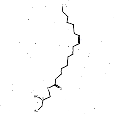 CCCCCC/C=C\CCCCCCCC(=O)OC[C@H](O)CO